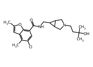 Cc1cc2c(C)c(Cl)cc(C(=O)NCC3C4CN(CCC(C)(C)O)CC34)c2o1